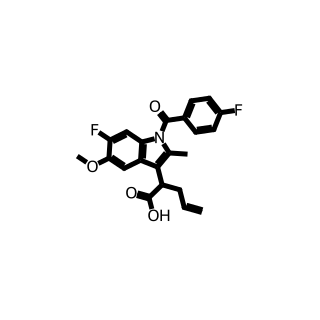 C=CCC(C(=O)O)c1c(C)n(C(=O)c2ccc(F)cc2)c2cc(F)c(OC)cc12